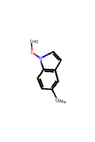 COc1ccc2c(ccn2OC=O)c1